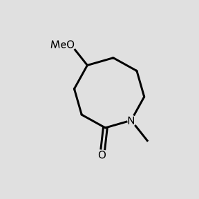 COC1CCCN(C)C(=O)CC1